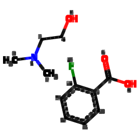 CN(C)CCO.O=C(O)c1ccccc1F